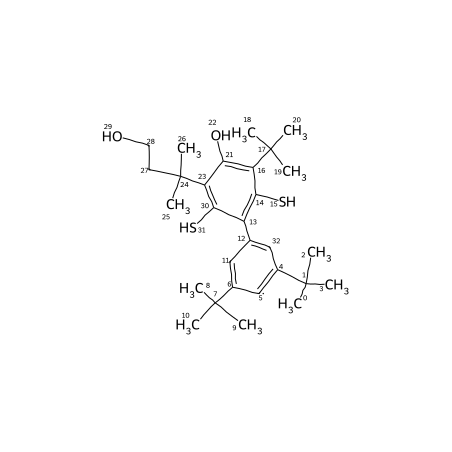 CC(C)(C)c1[c]c(C(C)(C)C)cc(-c2c(S)c(C(C)(C)C)c(O)c(C(C)(C)CCO)c2S)c1